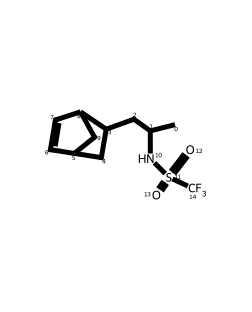 CC(CC1CC2C=CC1C2)NS(=O)(=O)C(F)(F)F